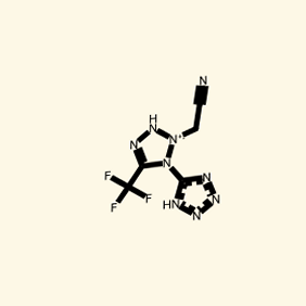 N#CC[N+]1NN=C(C(F)(F)F)N1c1nnn[nH]1